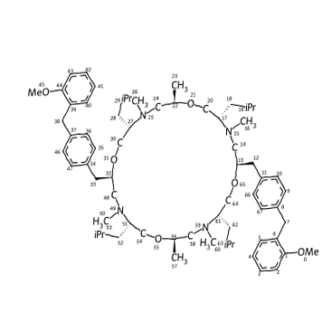 COc1ccccc1Cc1ccc(C[C@@H]2CN(C)[C@@H](CC(C)C)CO[C@H](C)CN(C)[C@@H](CC(C)C)CO[C@H](Cc3ccc(Cc4ccccc4OC)cc3)CN(C)[C@@H](CC(C)C)CO[C@H](C)CN(C)[C@@H](CC(C)C)CO2)cc1